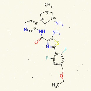 CCOCc1cc(F)c(-c2nc(C(=O)Nc3cnccc3[C@@H]3C[C@H](C)C[C@H](N)C3)c(N)s2)c(F)c1